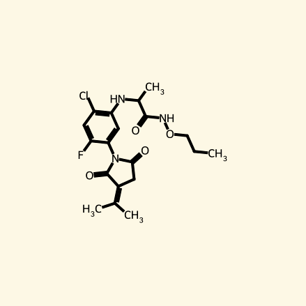 CCCONC(=O)C(C)Nc1cc(N2C(=O)CC(=C(C)C)C2=O)c(F)cc1Cl